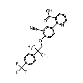 CC(C)(COc1ccc(-c2ncccc2C(=O)O)cc1C#N)c1ccc(C(F)(F)F)cc1